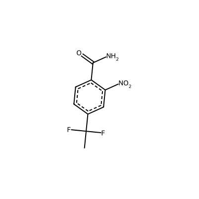 CC(F)(F)c1ccc(C(N)=O)c([N+](=O)[O-])c1